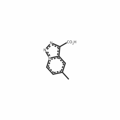 Cc1ccn2nnc(C(=O)O)c2c1